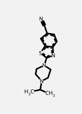 CC(C)N1CCN(c2nc3ccc(C#N)cc3s2)CC1